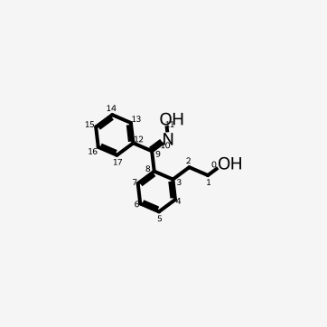 OCCc1ccccc1C(=NO)c1ccccc1